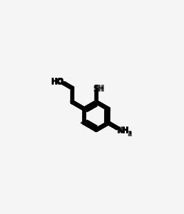 Nc1c[c]c(CCO)c(S)c1